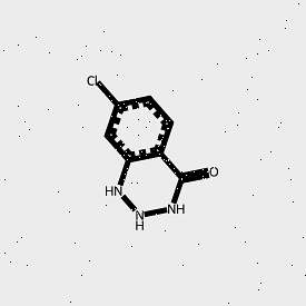 O=C1NNNc2cc(Cl)ccc21